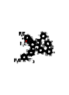 FC(F)(F)c1ccc(-c2ccc3c(c2)c2cc(-c4ccc(C(F)(F)F)cc4C(F)(F)F)ccc2n3-c2ccc(-c3cccc4oc5ccccc5c34)cc2-c2nc(-c3ccccc3)nc(-c3ccccc3)n2)c(C(F)(F)F)c1